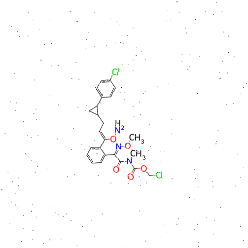 CON=C(C(=O)N(C)C(=O)OCCl)c1ccccc1C(=CCC1CC1c1ccc(Cl)cc1)ON